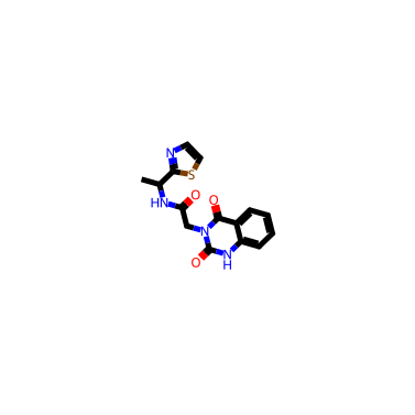 CC(NC(=O)Cn1c(=O)[nH]c2ccccc2c1=O)c1nccs1